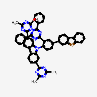 Cc1nc(C)nc(-c2ccc3c4ccc(-c5nc(C)nc(C)n5)cc4n(-c4ccc(-c5ccc6c(c5)sc5ccccc56)cc4-c4nc(-c5ccccc5)nc(-c5ccccc5)n4)c3c2)n1